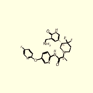 C[C@@H](C(=O)Nc1ccc(Oc2ccc(F)cn2)cn1)N1CCC(F)(F)[C@@H](c2c[nH]c(=O)c(CN)c2)C1